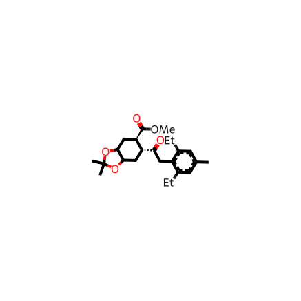 CCc1cc(C)cc(CC)c1CC(=O)[C@@H]1CC2OC(C)(C)OC2C[C@H]1C(=O)OC